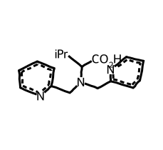 CC(C)C(C(=O)O)N(Cc1ccccn1)Cc1ccccn1